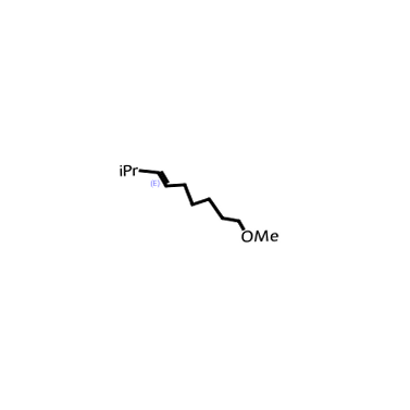 COCCCCC/C=C/C(C)C